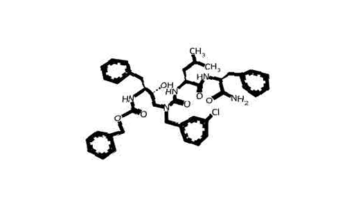 CC(C)C[C@H](NC(=O)N(Cc1cccc(Cl)c1)C[C@@H](O)[C@H](Cc1ccccc1)NC(=O)OCc1ccccc1)C(=O)N[C@@H](Cc1ccccc1)C(N)=O